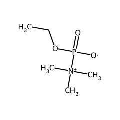 CCOP([O])(=O)[N+](C)(C)C